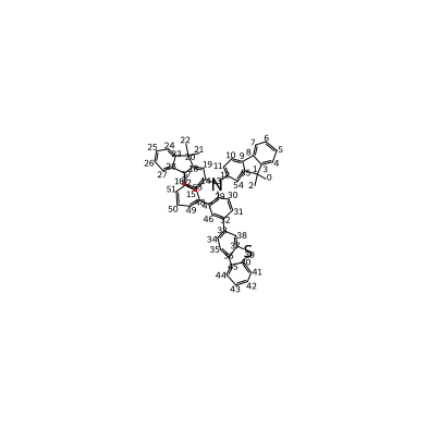 CC1(C)c2ccccc2-c2ccc(N(c3ccc4c(c3)C(C)(C)c3ccccc3-4)c3ccc(-c4ccc5c(c4)sc4ccccc45)cc3-c3ccccc3)cc21